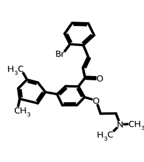 Cc1cc(C)cc(-c2ccc(OCCN(C)C)c(C(=O)C=Cc3ccccc3Br)c2)c1